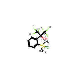 CS(C)(Cl)c1ccccc1C(O)(C(F)(F)F)C(F)(F)F